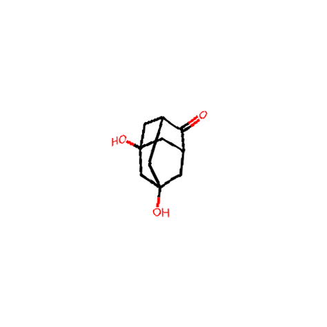 O=C1C2CC3(O)CC1CC(O)(C2)C3